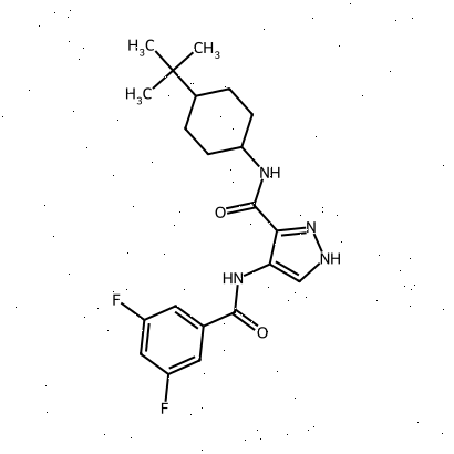 CC(C)(C)C1CCC(NC(=O)c2n[nH]cc2NC(=O)c2cc(F)cc(F)c2)CC1